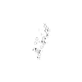 C[C@@H]1C[C@H]2[C@@H]3CCC4=CC(=O)C=C[C@]4(C)[C@@]3(F)[C@@H](O)C[C@]2(C)[C@@]1(O)C(=O)COC(=O)C[C@H](NC(=O)OCC1c2ccccc2-c2ccccc21)C(=O)OCc1ccc([C@@H](CNC(=O)OC(C)(C)C)C(=O)Nc2ccc3cnccc3c2)cc1